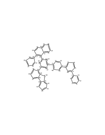 c1ccc(-c2cccc(-c3ccc(-c4nc(-c5c(-c6ccccc6)ccc6ccccc56)nc(-c5cccc6c5sc5ccccc56)n4)cc3)c2)cc1